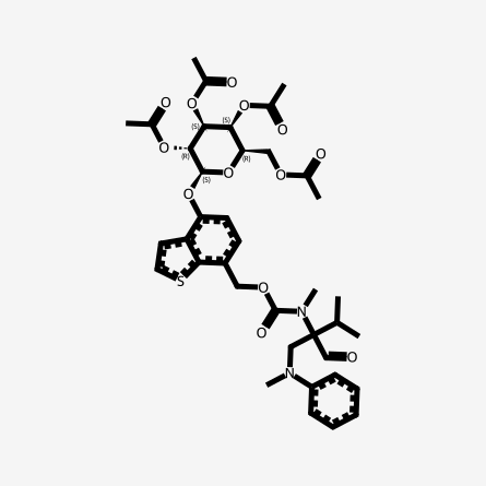 CC(=O)OC[C@H]1O[C@@H](Oc2ccc(COC(=O)N(C)C(C=O)(CN(C)c3ccccc3)C(C)C)c3sccc23)[C@H](OC(C)=O)[C@@H](OC(C)=O)[C@H]1OC(C)=O